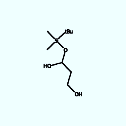 CC(C)(C)[Si](C)(C)OC(O)CCO